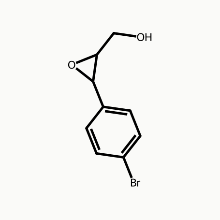 OCC1OC1c1ccc(Br)cc1